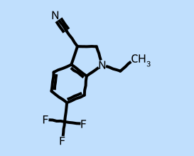 CCN1CC(C#N)c2ccc(C(F)(F)F)cc21